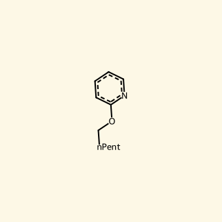 [CH2]CCCCCOc1ccccn1